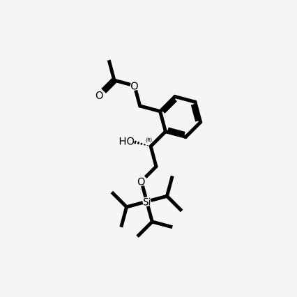 CC(=O)OCc1ccccc1[C@@H](O)CO[Si](C(C)C)(C(C)C)C(C)C